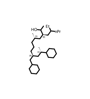 CCCC(CC)C[C@@H](C[C@@H](C)CCC[C@H](CC1CCCCC1)C[C@H](C)C1CCCCC1)C(C)O